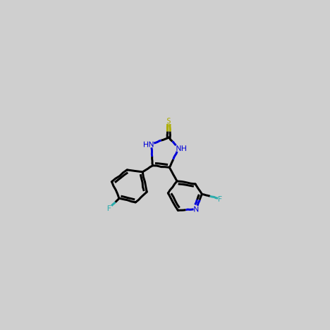 Fc1ccc(-c2[nH]c(=S)[nH]c2-c2ccnc(F)c2)cc1